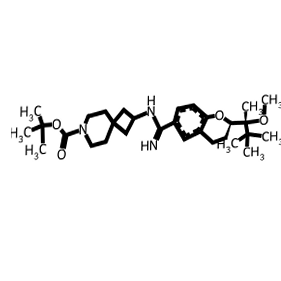 CO[C@@](C)([C@H]1CCc2cc(C(=N)NC3CC4(CCN(C(=O)OC(C)(C)C)CC4)C3)ccc2O1)C(C)(C)C